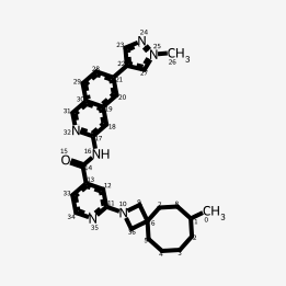 CC1CCCCC2(CC1)CN(c1cc(C(=O)Nc3cc4cc(-c5cnn(C)c5)ccc4cn3)ccn1)C2